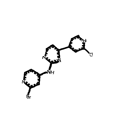 Clc1cc(-c2ccnc(Nc3ccnc(Br)c3)n2)ccn1